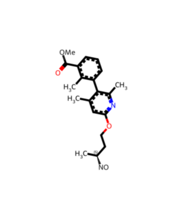 COC(=O)c1cccc(-c2c(C)cc(OCC[C@H](C)N=O)nc2C)c1C